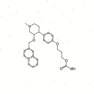 CN1CCC(c2ccc(OCCCOC(=O)C(C)(C)C)cc2)C(OCc2ccc3ccccc3c2)C1